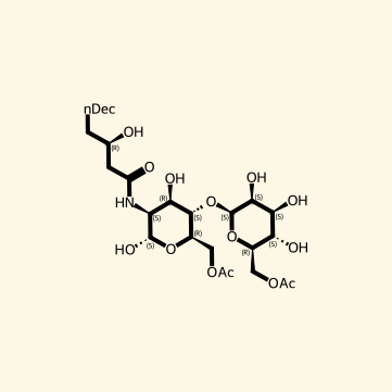 CCCCCCCCCCC[C@@H](O)CC(=O)N[C@H]1[C@@H](O)[C@H](O[C@@H]2O[C@H](COC(C)=O)[C@@H](O)[C@H](O)[C@@H]2O)[C@@H](COC(C)=O)O[C@@H]1O